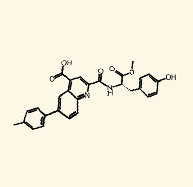 COC(=O)[C@H](Cc1ccc(O)cc1)NC(=O)c1cc(C(=O)O)c2cc(-c3ccc(C)cc3)ccc2n1